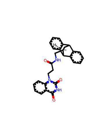 O=C(CCn1c(=O)[nH]c(=O)c2ccccc21)NC[C@H]1CC2c3ccccc3C1c1ccccc12